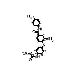 Cc1ccc(NC(=O)c2ccc(Sc3ccc(NC(=O)OC(C)(C)C)cc3)c(N)c2)cc1